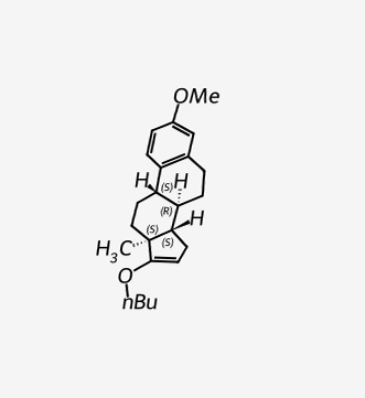 CCCCOC1=CC[C@H]2[C@@H]3CCc4cc(OC)ccc4[C@H]3CC[C@]12C